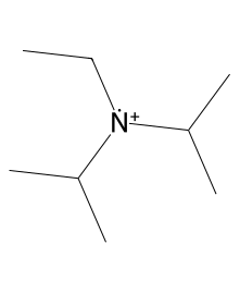 CC[N+](C(C)C)C(C)C